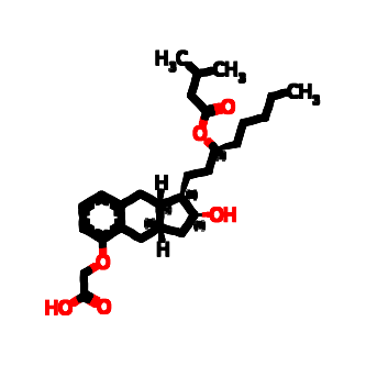 CCCCC[C@@H](CC[C@@H]1[C@H]2Cc3cccc(OCC(=O)O)c3C[C@H]2C[C@H]1O)OC(=O)CC(C)C